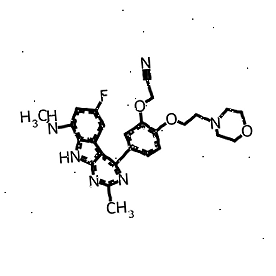 CNc1cc(F)cc2c1[nH]c1nc(C)nc(-c3ccc(OCCN4CCOCC4)c(OCC#N)c3)c12